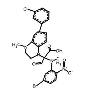 CN1CCN(C(C=O)(C(=O)O)N(C)c2cc(Br)ccc2[N+](=O)[O-])c2ccc(-c3cccc(Cl)c3)cc21